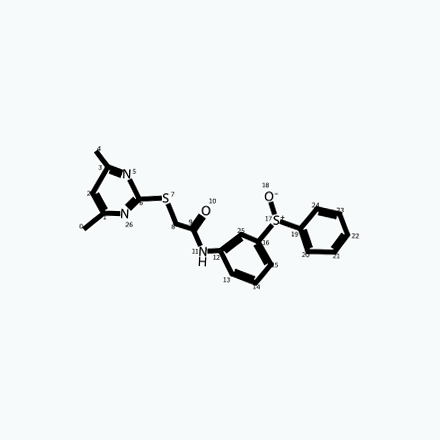 Cc1cc(C)nc(SCC(=O)Nc2cccc([S+]([O-])c3ccccc3)c2)n1